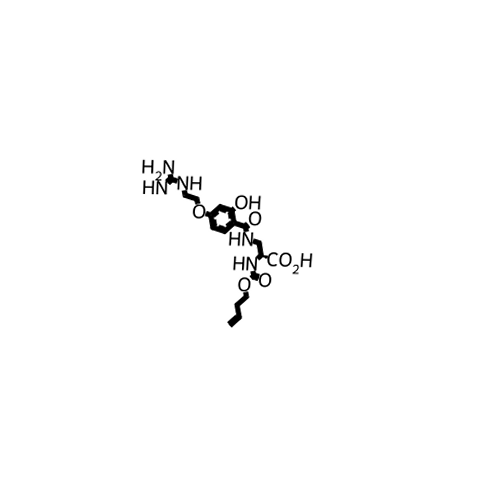 C=CCCOC(=O)N[C@@H](CNC(=O)c1ccc(OCCNC(=N)N)cc1O)C(=O)O